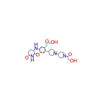 O=C1CCC(Nc2ccc(C3CCN(C4CCN(C(=O)CO)CC4)CC3)c(F)c2)C(=O)N1.O=CO